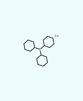 C1CCC(P(C2CCCCC2)C2CCCCC2)CC1.[Co]